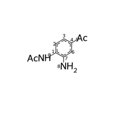 CC(=O)Nc1ccc(C(C)=O)cc1N